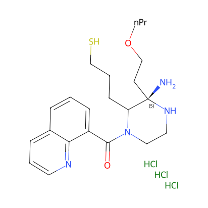 CCCOCC[C@]1(N)NCCN(C(=O)c2cccc3cccnc23)C1CCCS.Cl.Cl.Cl